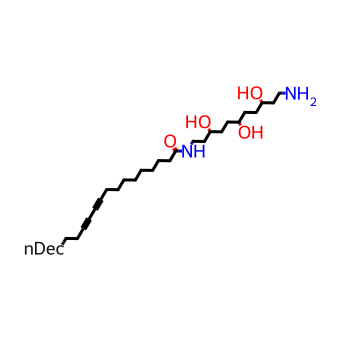 CCCCCCCCCCCCC#CC#CCCCCCCCCC(=O)NCCC(O)CCC(O)CCC(O)CCN